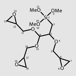 CO[Si](CC(OCC1CO1)C(OCC1CO1)OCC1CO1)(OC)OC